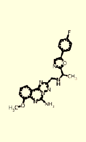 COc1cccc2c1nc(N)n1nc(CNC(C)c3ncc(-c4ccc(F)cc4)o3)nc21